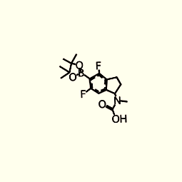 CN(C(=O)O)C1CCc2c1cc(F)c(B1OC(C)(C)C(C)(C)O1)c2F